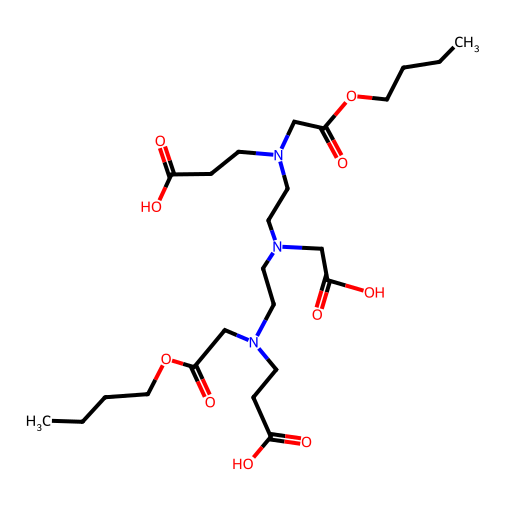 CCCCOC(=O)CN(CCC(=O)O)CCN(CCN(CCC(=O)O)CC(=O)OCCCC)CC(=O)O